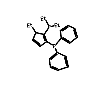 CCC1C=CC(P(c2ccccc2)c2ccccc2)=C1P(CC)CC